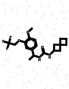 COc1ccc(C(C)NC(=O)NC2CC3(CCC3)C2)cc1OCC(F)(F)F